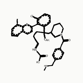 CNCc1ccc(C(=O)N2CCCC(C(O)(CCCNC(=O)O)c3cccc(Cl)c3-c3ccc4cccc(C)c4n3)C2)cc1